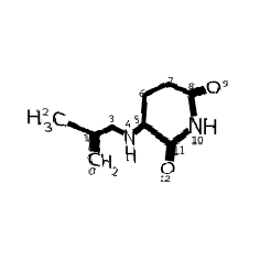 C=C(C)CNC1CCC(=O)NC1=O